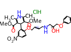 COC(=O)C1=C(C)NC(C)=C(C(=O)OC)C1c1cc([N+](=O)[O-])ccc1OC/C=C/CNC[C@H](O)COc1ccccc1.Cl